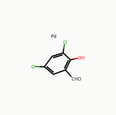 O=Cc1cc(Cl)cc(Cl)c1O.[Pd]